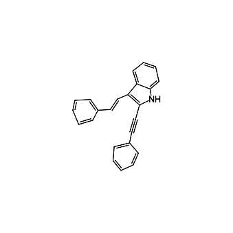 C(#Cc1[nH]c2ccccc2c1/C=C/c1ccccc1)c1ccccc1